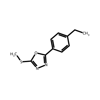 CCc1ccc(-c2nnc(SC)o2)cc1